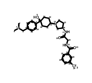 CN(C)Cc1ccc(C2(O)CCC(N3CC[C@@H](NC(=O)CNC(=O)c4cccc(C(F)(F)F)c4)C3)CC2)cc1